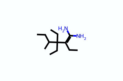 CCC(=C(N)N)C(CC)(CC)C(C)CC